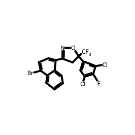 Fc1c(Cl)cc(C2(C(F)(F)F)CC(c3ccc(Br)c4ccccc34)=NO2)cc1Cl